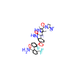 Cc1[nH]c(/C=C2\C(=O)Nc3cc(Oc4cccc(-c5c(C(N)=O)cccc5C(F)(F)F)c4)ccc32)c(C)c1C(=O)N1CCC(N(C)C)C1